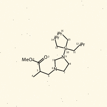 COC(=O)C(C)CN1CCN([Si](CC(C)C)(CC(C)C)CC(C)C)C1